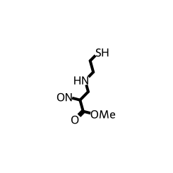 COC(=O)C(CNCCS)N=O